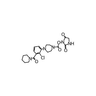 O=C(ON1C(=O)CNC1=O)N1CCN(c2cccc(C(=O)N3CCCCC3)c2Cl)CC1